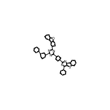 c1ccc(-c2cccc(-c3nc(-c4ccc(-c5nc(-c6ccccc6)c6sc7ccccc7c6n5)cc4)nc(-c4ccc5oc6ccccc6c5c4)n3)c2)cc1